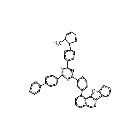 CC1C=CC=CC1c1ccc(-c2nc(-c3ccc(-c4ccccc4)cc3)nc(-c3cccc(-c4cccc5ccc6c7ccccc7oc6c45)c3)n2)cc1